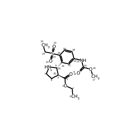 CCOC(=O)[C@H]1CCN[C@@H]1c1cc(NC(=O)OC)ccc1S(=O)(=O)CC